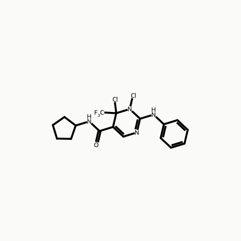 O=C(NC1CCCC1)C1=CN=C(Nc2ccccc2)N(Cl)C1(Cl)C(F)(F)F